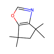 CC1(C)CC(C)(C)c2ocnc21